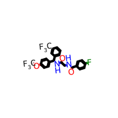 O=C(CNC(=O)c1ccc(F)cc1)NC(c1ccc(OC(F)(F)F)cc1)c1cccc(C(F)(F)F)c1